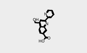 O=C(O)c1ccc2c(CO)cc(-c3ccccn3)nc2c1